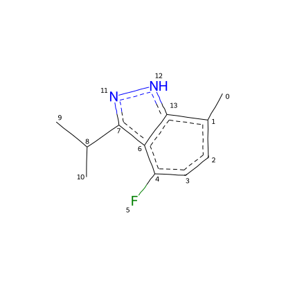 Cc1ccc(F)c2c(C(C)C)n[nH]c12